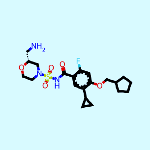 NC[C@@H]1CN(S(=O)(=O)NC(=O)c2cc(C3CC3)c(OCC3CCCC3)cc2F)CCO1